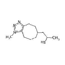 CC(S)CC1CCCc2c(nnn2C)CC1